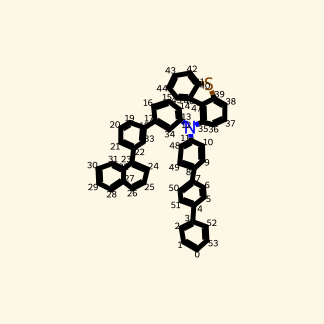 c1ccc(-c2ccc(-c3ccc(N(c4cccc(-c5cccc(-c6cccc7ccccc67)c5)c4)c4cccc5sc6ccccc6c45)cc3)cc2)cc1